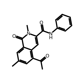 CC(=O)c1cc(C)cc2c(=O)n(C)c(C(=O)Nc3ccccc3)cc12